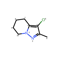 Cc1nn2c(c1Cl)CCCC2